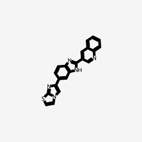 c1ccc2ncc(-c3nc4ccc(-c5cn6ccsc6n5)cc4[nH]3)cc2c1